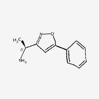 C[C@H](N)c1cc(-c2ccccc2)on1